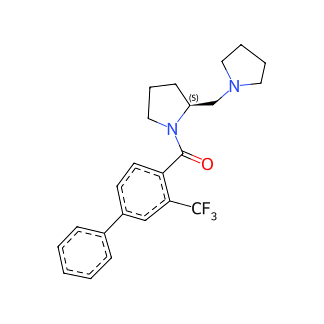 O=C(c1ccc(-c2ccccc2)cc1C(F)(F)F)N1CCC[C@H]1CN1CCCC1